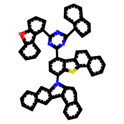 c1ccc2cc3c(cc2c1)c1c2ccccc2ccc1n3-c1ccc(-c2nc(-c3cccc4ccccc34)nc(-c3cccc4oc5ccccc5c34)n2)c2c1sc1c3ccccc3ccc12